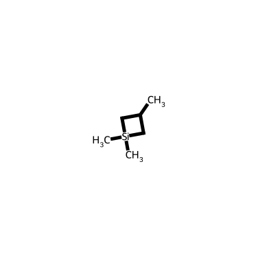 CC1C[Si](C)(C)C1